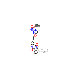 CCOC(=O)CC(C)N1C(=O)c2cc(C#CCOc3cc(C)nc(NC(=O)OC(C)(C)C)n3)ccc2N(C)C(=O)C1c1ccccc1